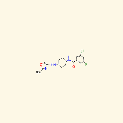 CC(C)(C)c1nc(CN[C@H]2CC[C@H](NC(=O)c3cc(F)cc(Cl)c3)CC2)co1